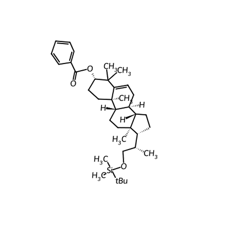 C[C@H](CO[Si](C)(C)C(C)(C)C)[C@H]1CC[C@H]2[C@@H]3CC=C4C(C)(C)[C@@H](OC(=O)c5ccccc5)CC[C@]4(C)[C@H]3CC[C@]12C